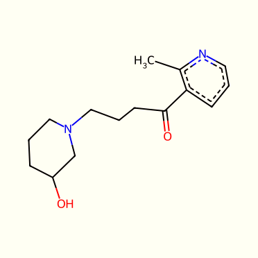 Cc1ncccc1C(=O)CCCN1CCCC(O)C1